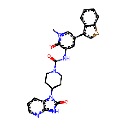 Cn1cc(-c2csc3ccccc23)cc(NC(=O)N2CCC(n3c(=O)[nH]c4ncccc43)CC2)c1=O